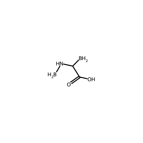 BNC(B)C(=O)O